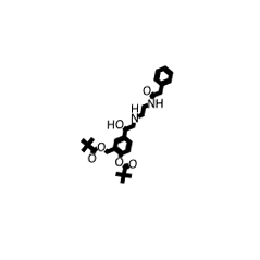 CC(C)(C)C(=O)OCc1cc(C(O)CNCCNC(=O)Cc2ccccc2)ccc1OC(=O)C(C)(C)C